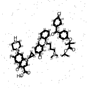 CC(C)OC(=O)C(C)(C)Oc1ccc(C(=O)c2ccc(Cl)cc2)cc1.CN(C)CCCN1c2ccccc2Sc2ccc(Cl)cc21.O=C(O)c1cn(C2CC2)c2cc(N3CCNCC3)c(F)cc2c1=O